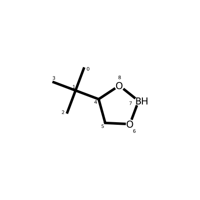 CC(C)(C)C1COBO1